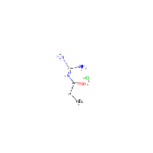 CCCCCC(=O)N=C(N)N.Cl